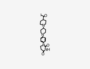 O=C1CCN(c2ccc(N3CCC(N4CCC(C(=O)I)CC4)CC3)cc2)C(=O)N1